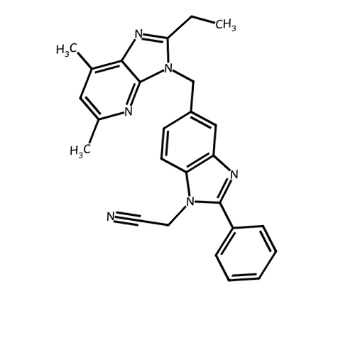 CCc1nc2c(C)cc(C)nc2n1Cc1ccc2c(c1)nc(-c1ccccc1)n2CC#N